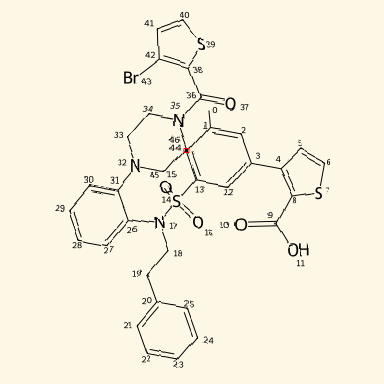 Cc1cc(-c2ccsc2C(=O)O)cc(S(=O)(=O)N(CCc2ccccc2)c2ccccc2N2CCN(C(=O)c3sccc3Br)CC2)c1